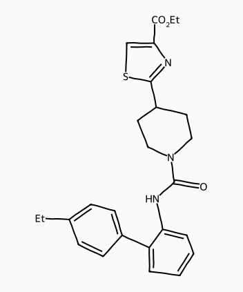 CCOC(=O)c1csc(C2CCN(C(=O)Nc3ccccc3-c3ccc(CC)cc3)CC2)n1